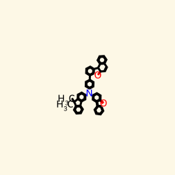 CC1(C)c2ccccc2-c2cc(N(c3ccc(-c4cccc5c4OC4C=Cc6ccccc6C54)cc3)c3ccc4oc5ccccc5c4c3)ccc21